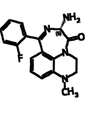 CN1CCN2C(=O)[C@@H](N)N=C(c3ccccc3F)c3cccc1c32